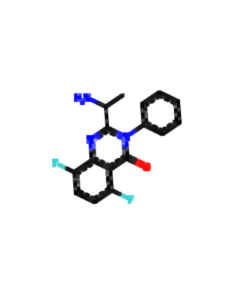 CC(N)c1nc2c(F)ccc(F)c2c(=O)n1-c1ccccc1